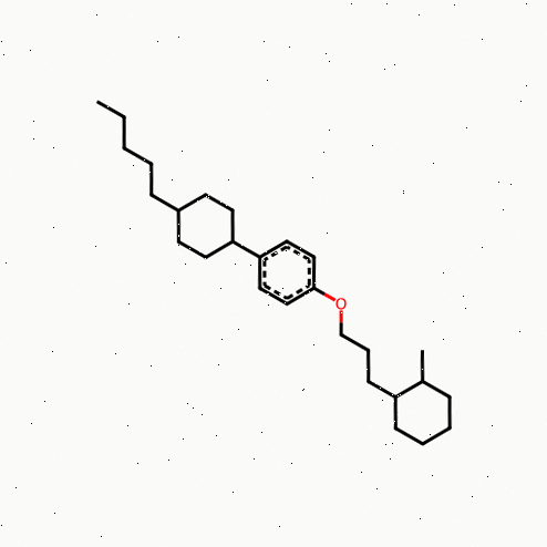 CCCCCC1CCC(c2ccc(OCCCC3CCCCC3C)cc2)CC1